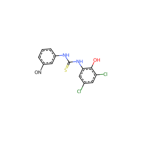 O=Nc1cccc(NC(=S)Nc2cc(Cl)cc(Cl)c2O)c1